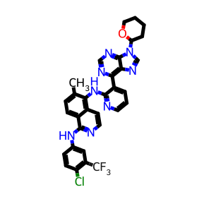 Cc1ccc2c(Nc3ccc(Cl)c(C(F)(F)F)c3)nccc2c1Nc1ncccc1-c1ncnc2c1ncn2C1CCCCO1